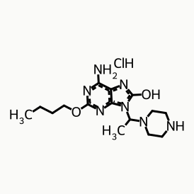 CCCCOc1nc(N)c2nc(O)n(C(C)N3CCNCC3)c2n1.Cl